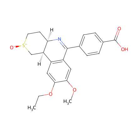 CCOc1cc2c(cc1OC)C(c1ccc(C(=O)O)cc1)=N[C@@H]1CC[S@+]([O-])C[C@H]21